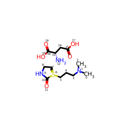 CN(C)CCCS1=CCNC1=O.N[C@@H](CC(=O)O)C(=O)O